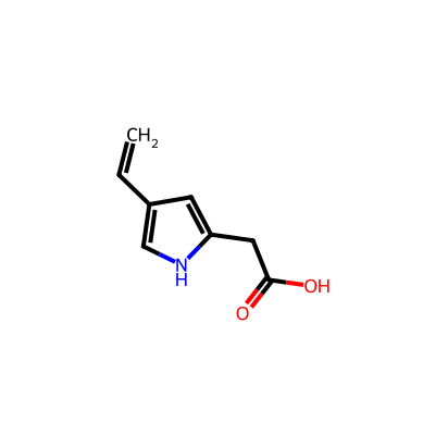 C=Cc1c[nH]c(CC(=O)O)c1